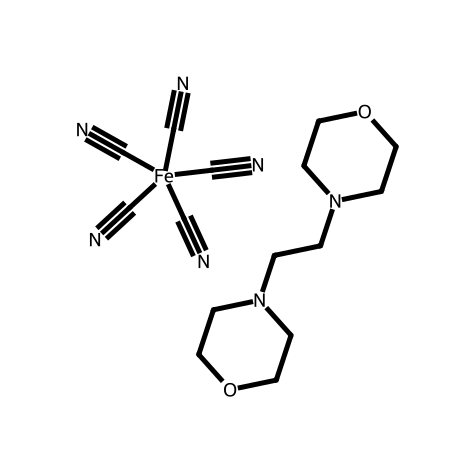 C1CN(CCN2CCOCC2)CCO1.N#[C][Fe]([C]#N)([C]#N)([C]#N)[C]#N